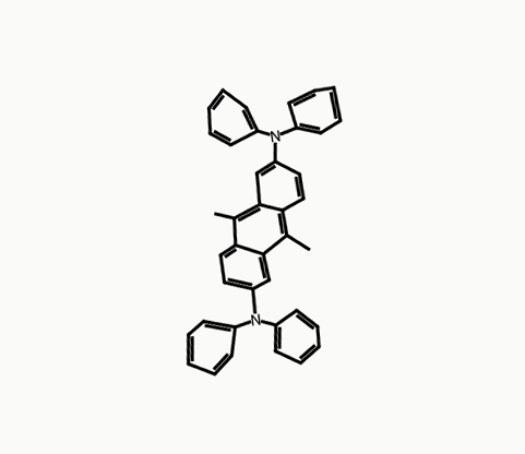 Cc1c2ccc(N(c3ccccc3)c3ccccc3)cc2c(C)c2ccc(N(c3ccccc3)c3ccccc3)cc12